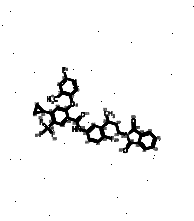 Cc1cc(F)ccc1Oc1cc(C2CC2)c(C(F)(F)F)cc1C(=O)Nc1ccc(F)c(C(C)CCN2C(=O)c3ccccc3C2=O)c1